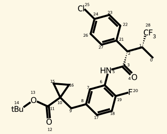 C[C@H]([C@H](C(=O)Nc1cc(CC2(C(=O)OC(C)(C)C)CC2)ccc1F)c1ccc(Cl)cc1)C(F)(F)F